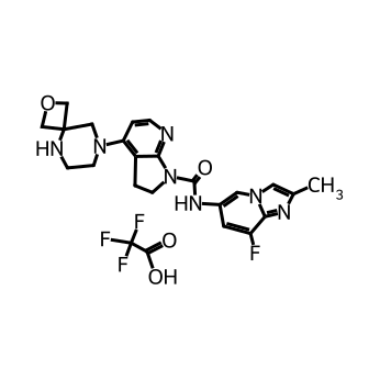 Cc1cn2cc(NC(=O)N3CCc4c(N5CCNC6(COC6)C5)ccnc43)cc(F)c2n1.O=C(O)C(F)(F)F